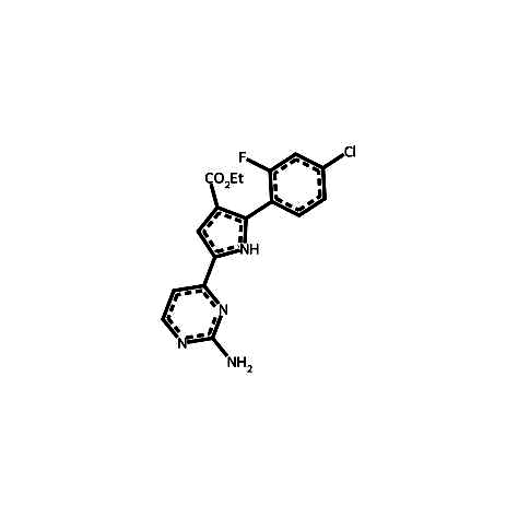 CCOC(=O)c1cc(-c2ccnc(N)n2)[nH]c1-c1ccc(Cl)cc1F